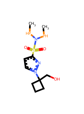 CPN(PC)S(=O)(=O)c1ccn(C2(CO)CCC2)n1